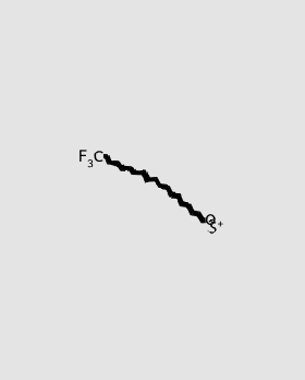 C[S+](C)OCCCCCCCCCCCCCCCCCCC(F)(F)F